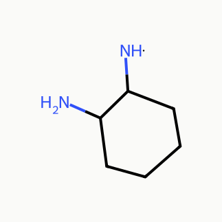 [NH]C1CCCCC1N